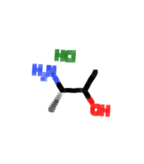 CC(O)[C@H](C)N.Cl